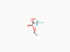 CCOC(=O)C(=CO)C(F)(F)F